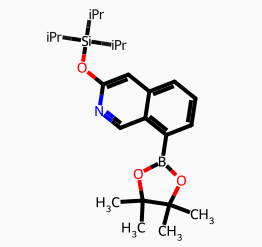 CC(C)[Si](Oc1cc2cccc(B3OC(C)(C)C(C)(C)O3)c2cn1)(C(C)C)C(C)C